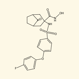 O=C1C2CCC1CC(NS(=O)(=O)c1ccc(Oc3ccc(F)cc3)cc1)(C(=O)NO)C2